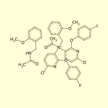 COc1ccccc1CNC(C)=O.COc1ccccc1C[N+](C(C)=O)(c1ccc(Cl)nc1Oc1ccc(F)cc1)c1ccc(Cl)nc1Oc1ccc(I)cc1